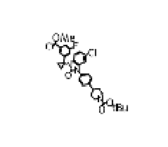 COC(=O)c1cc(F)cc(C2(n3c(=O)n(-c4ccc(C5CCN(C(=O)OC(C)(C)C)CC5)cc4)c4cc(Cl)ccc43)CC2)c1